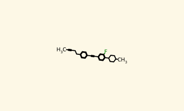 CC#CCCc1ccc(C#Cc2ccc(C3CCC(C)CC3)c(F)c2)cc1